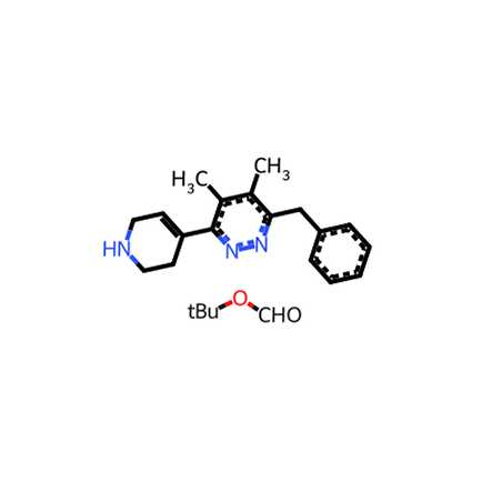 CC(C)(C)OC=O.Cc1c(Cc2ccccc2)nnc(C2=CCNCC2)c1C